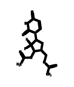 CC(=O)OCC1CC(n2ccc(=O)[nH]c2=O)C(F)(F)C1OC(C)=O